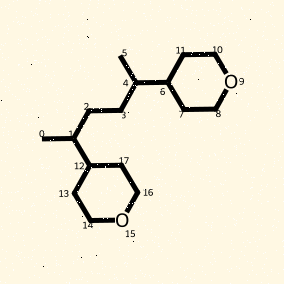 CC(CCC(C)C1CCOCC1)C1CCOCC1